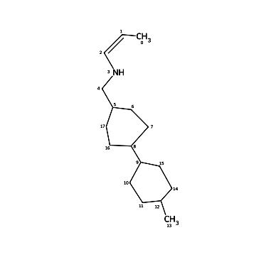 C/C=C\NCC1CCC(C2CCC(C)CC2)CC1